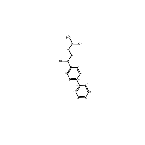 O=C(O)CCC(O)c1ccc(-c2ncccn2)cc1